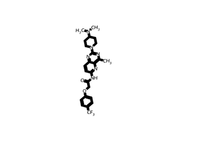 Cc1nc(N2CCC(N(C)C)CC2)nc2ccc(NC(=O)COc3ccc(C(F)(F)F)cc3)nc12